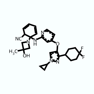 CC1(O)CN(C2(Nc3cc(Oc4cn(C5CC5)nc4C4CCC(F)(F)CC4)ccn3)C=CC=CC2C#N)C1